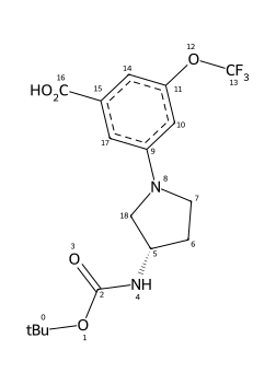 CC(C)(C)OC(=O)N[C@H]1CCN(c2cc(OC(F)(F)F)cc(C(=O)O)c2)C1